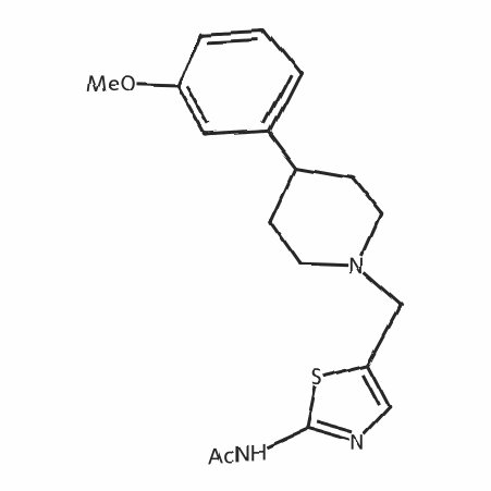 COc1cccc(C2CCN(Cc3cnc(NC(C)=O)s3)CC2)c1